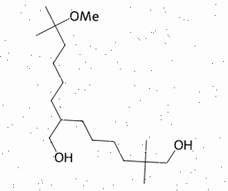 COC(C)(C)CCCCC(CO)CCCCC(C)(C)CO